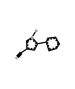 N#Cc1cc(-c2ccccc2)n(Br)c1